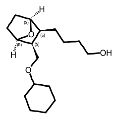 OCCCC[C@H]1[C@@H](COC2CCCCC2)[C@H]2CC[C@@H]1O2